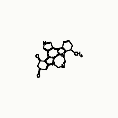 CC1CC=Cc2c1n1c3c2c2c(c4c5c(n(c43)CN=C1)=CC(=O)CC5=O)=CN=C2